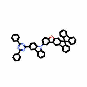 c1ccc(-c2nc(-c3ccccc3)nc(-c3ccc4c(c3)c3ccccc3n4-c3ccc4oc5cc6c(cc5c4c3)-c3ccccc3C63c4ccccc4-c4ccccc43)n2)cc1